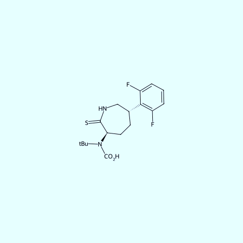 CC(C)(C)N(C(=O)O)[C@@H]1CC[C@@H](c2c(F)cccc2F)CNC1=S